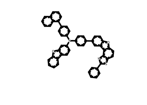 c1ccc(-c2nc3c(ccc4oc5ccc(-c6ccc(N(c7ccc(-c8cccc9ccccc89)cc7)c7ccc8c(c7)oc7ccccc78)cc6)cc5c43)s2)cc1